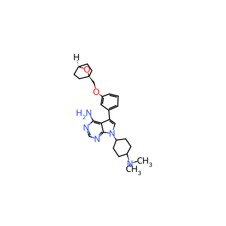 CN(C)C1CCC(n2cc(-c3cccc(OC[C@]45CC[C@@H](CC4)O5)c3)c3c(N)ncnc32)CC1